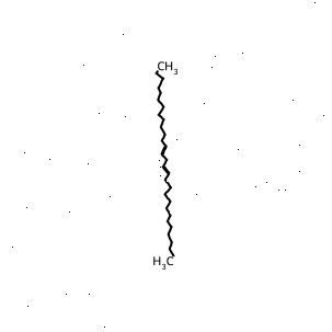 CCCCCCCCCCCC/C=C/C/C=C/CCCCCCCCCCCCC